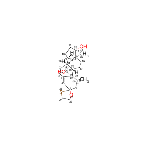 C[C@H]1CC2(C=C3CC[C@H]4[C@@H]5CC[C@H](O)[C@@]5(C)CC[C@@H]4[C@]31CO)OCCS2